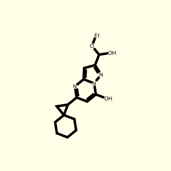 CCOC(O)c1cc2nc(C3CC34CCCCC4)cc(O)n2n1